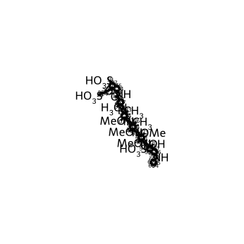 COc1cc(N=Nc2ccc(C(=O)Nc3ccc4cc(S(=O)(=O)O)cc(OCCCS(=O)(=O)O)c4c3)cc2C)c(C)cc1N=Nc1cc(OC)c(N=Nc2cc(OC)c(N=Nc3c(S(=O)(=O)O)cc4cc(Nc5ccccc5)ccc4c3O)cc2OC)cc1C